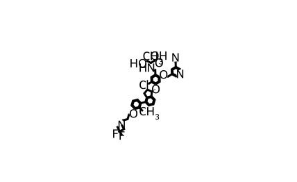 Cc1c(OCCCN2CC(F)(F)C2)cccc1-c1cccc2c1CC[C@@H]2Oc1cc(OCc2cncc(C#N)c2)c(CN[C@H](C(=O)O)[C@@H](C)O)cc1Cl